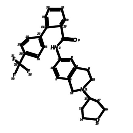 O=C(Nc1ccc2c(c1)CCN(C1CCOCC1)C2)c1ccccc1-c1ccc(C(F)(F)F)cc1